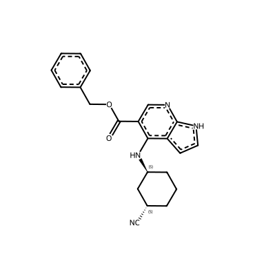 N#C[C@H]1CCC[C@H](Nc2c(C(=O)OCc3ccccc3)cnc3[nH]ccc23)C1